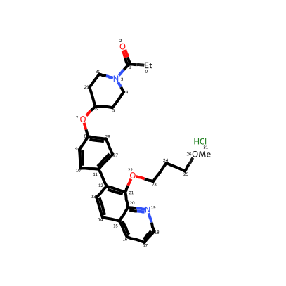 CCC(=O)N1CCC(Oc2ccc(-c3ccc4cccnc4c3OCCCOC)cc2)CC1.Cl